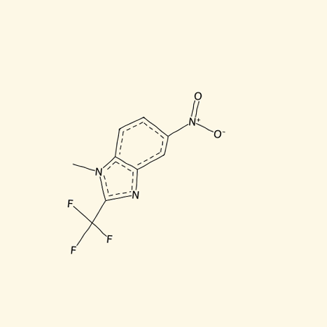 Cn1c(C(F)(F)F)nc2cc([N+](=O)[O-])ccc21